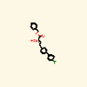 O=C(OCc1ccccc1)[C@H](O)CCc1ccc(-c2ccc(F)cc2)cc1